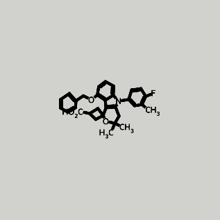 Cc1cc(-n2c3c(c4c(OCc5ccccc5)cccc42)C2(CC(C(=O)O)C2)OC(C)(C)C3)ccc1F